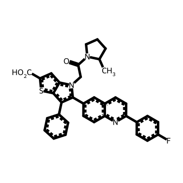 CC1CCCN1C(=O)Cn1c(-c2ccc3nc(-c4ccc(F)cc4)ccc3c2)c(-c2ccccc2)c2sc(C(=O)O)cc21